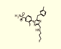 Cc1cccc(Cc2nc(CNCCCF)nn2-c2ccc(S(N)(=O)=O)cc2F)c1